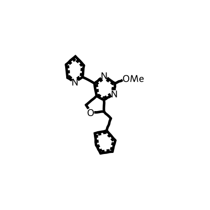 COc1nc(-c2ccccn2)c2c(n1)C(Cc1ccccc1)OC2